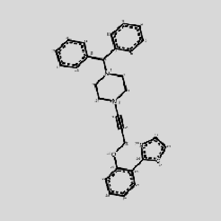 C(#CN1CCN(C(c2ccccc2)c2ccccc2)CC1)COc1ccccc1-c1ncco1